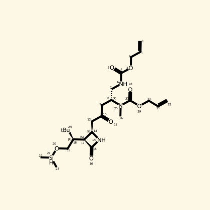 C=CCOC(=O)NC[C@@H](CC(=O)C[C@H]1NC(=O)[C@H]1[C@@H](CO[SiH](C)C)C(C)(C)C)N(C)C(=O)OCC=C